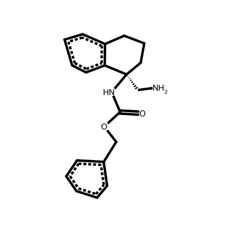 NC[C@@]1(NC(=O)OCc2ccccc2)CCCc2ccccc21